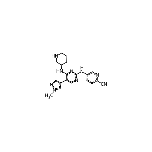 Cn1cc(-c2cnc(Nc3ccc(C#N)nc3)nc2N[C@@H]2CCCNC2)cn1